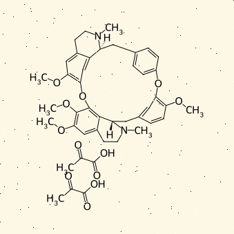 CC(=O)C(=O)O.CC(=O)C(=O)O.COc1ccc2cc1Oc1ccc(cc1)C[C@H]1c3cc(c(OC)cc3CCN1C)Oc1c(OC)c(OC)cc3c1[C@H](C2)N(C)CC3